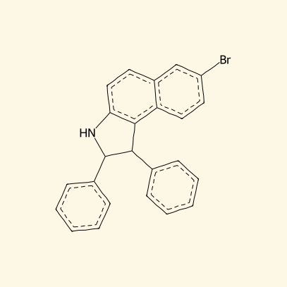 Brc1ccc2c3c(ccc2c1)NC(c1ccccc1)C3c1ccccc1